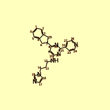 c1ccc2c(c1)CC(c1cc(NCCCn3ccnc3)nc(-c3ccncc3)n1)C2